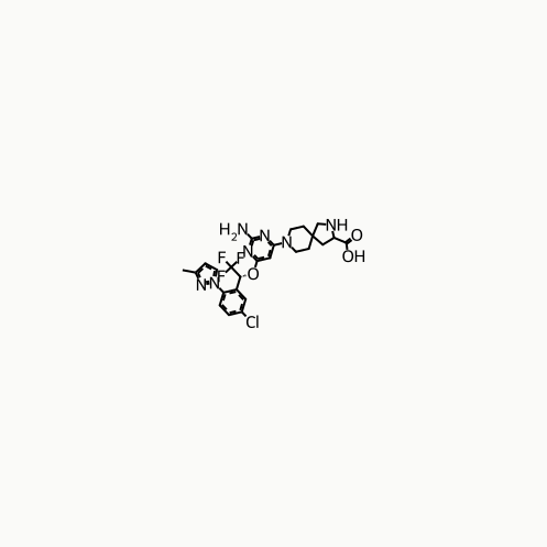 Cc1ccn(-c2ccc(Cl)cc2[C@@H](Oc2cc(N3CCC4(CC3)CNC(C(=O)O)C4)nc(N)n2)C(F)(F)F)n1